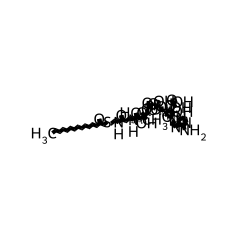 CCCCCCCCCCCCCC(=O)CSCCNC(=O)CCNC(=O)[C@@H](O)C(C)(C)CO[P@@](=O)(O)O[P@](=O)(O)OC[C@@H]1O[C@@H](n2cnc3c(N)ncnc32)[C@H](O)[C@H]1OP(=O)(O)O